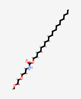 CCCCCCCCCCCCCCCCCCCOC(=O)NCCCOCCOC